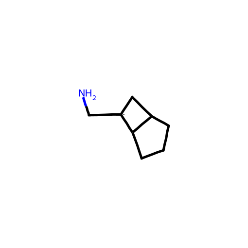 NC[C]1CC2CCCC12